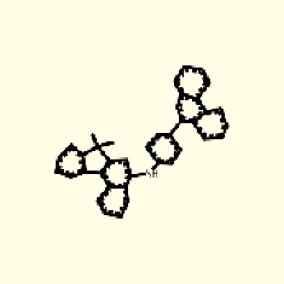 CC1(C)c2ccccc2-c2c1cc(Nc1ccc(-c3cc4ccccc4c4ccccc34)cc1)c1ccccc21